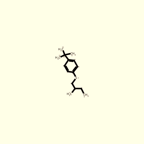 CCC(C)CSc1ccc(C(C)(C)C)cc1